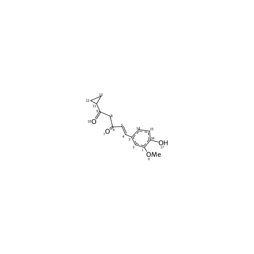 COc1cc(C=CC(=O)CC(=O)C2CC2)ccc1O